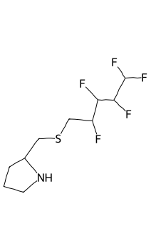 FC(F)C(F)C(F)C(F)CSCC1CCCN1